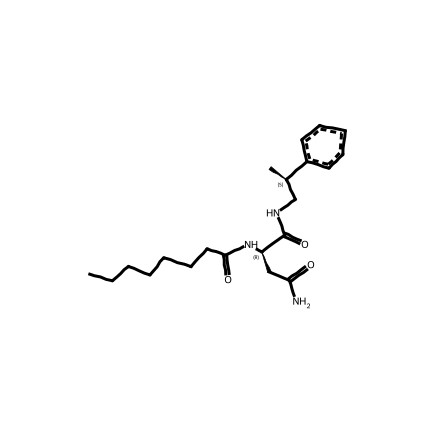 CCCCCCCC(=O)N[C@H](CC(N)=O)C(=O)NC[C@@H](C)c1ccccc1